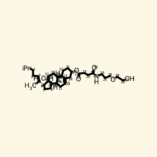 CC(C)CCCC(C)[C@H]1CC[C@H]2[C@@H]3CC=C4C[C@@H](OC(=O)CCC(=O)NCCCOCCO)CC[C@]4(C)[C@H]3CC[C@]12C